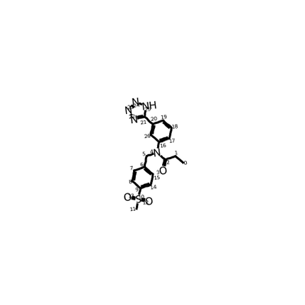 CCC(=O)N(Cc1ccc(S(C)(=O)=O)cc1)c1cccc(-c2nnn[nH]2)c1